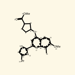 COC(=O)C1CCC(Oc2cc(-c3nc(C(C)C)cs3)nc3c(C)c(OC)ccc23)C1